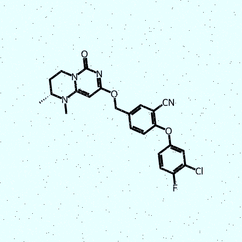 C[C@@H]1CCn2c(cc(OCc3ccc(Oc4ccc(F)c(Cl)c4)c(C#N)c3)nc2=O)N1C